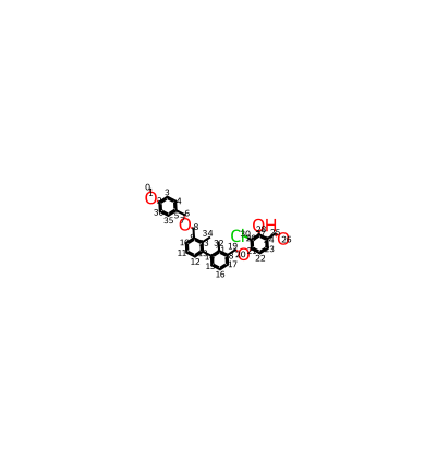 COc1ccc(COCc2cccc(-c3cccc(COc4ccc(C=O)c(O)c4Cl)c3C)c2C)cc1